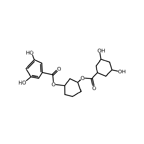 O=C(OC1CCCC(OC(=O)C2CC(O)CC(O)C2)C1)c1cc(O)cc(O)c1